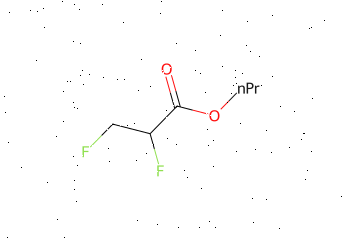 CCCOC(=O)C(F)CF